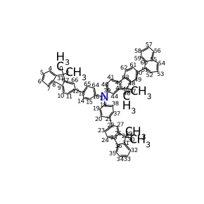 CC1(C)c2ccccc2-c2ccc(-c3ccc(N(c4ccc(-c5ccc6c(c5)C(C)(C)c5ccccc5-6)cc4)c4ccc5c(c4)C(C)(C)c4cc(-c6cccc7ccccc67)ccc4-5)cc3)cc21